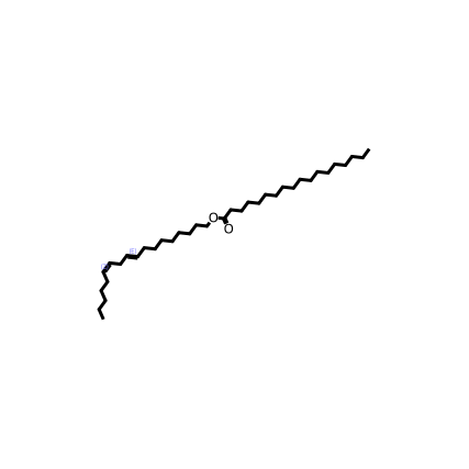 CCCCC/C=C\C/C=C/CCCCCCCCOC(=O)CCCCCCCCCCCCCCCCC